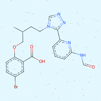 CC(CCn1cnnc1-c1cccc(NC=O)n1)COc1ccc(Br)cc1C(=O)O